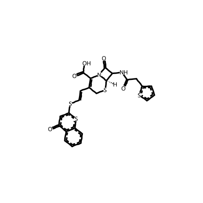 O=C(Cc1cccs1)NC1C(=O)N2C(C(=O)O)=C(/C=C/Sc3cc(=O)c4ccccc4s3)CS[C@H]12